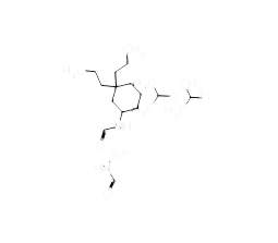 CC(C)[O-].CC(C)[O-].CCCC1(CCC)CCCC(NC=O)C1.O=C[NH][Ti+2]